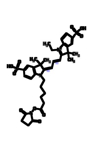 CC[N+]1=C(/C=C/C=C2/N(CCCCCC(=O)ON3C(=O)CCC3=O)c3ccc(S(=O)(=O)O)cc3C2(C)C)C(C)(C)c2cc(S(=O)(=O)O)ccc21